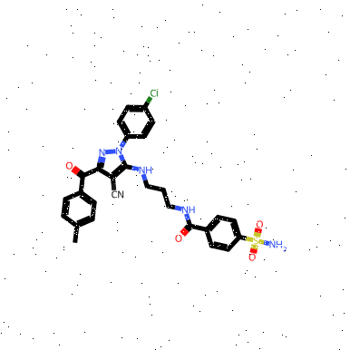 Cc1ccc(C(=O)c2nn(-c3ccc(Cl)cc3)c(NCCCNC(=O)c3ccc(S(N)(=O)=O)cc3)c2C#N)cc1